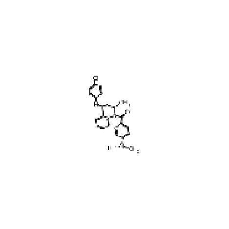 C[C@@H]1C[C@H](Nc2ccc(Cl)cc2)c2ccccc2N1C(=O)c1ccc(N(C)C)cc1